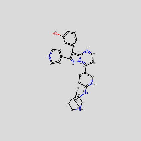 Oc1cccc(-c2c(-c3ccncc3)nn3c(-c4ccc(N[C@@H]5CN6CCC5CC6)nc4)ccnc23)c1